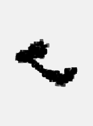 CN[C@@H](C)C(=O)N[C@H](C(=O)N1CCC[C@H]1C(=O)N[C@H]1c2ccccc2C[C@H]1OCCOCCOCCOc1ccc(C(=O)N[C@H]2C(C)(C)[C@H](Oc3ccc(C#N)c(Cl)c3)C2(C)C)cc1)C(C)(C)C